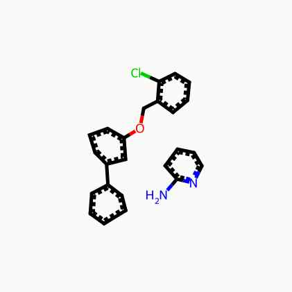 Clc1ccccc1COc1cccc(-c2ccccc2)c1.Nc1ccccn1